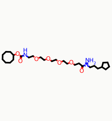 NN(CCCC1CCCC1)C(=O)CCOCCOCCOCCOCCNC(=O)OC1CCCCCCC1